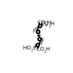 CC(C)(c1ccc(Oc2ccc(C(=O)O)c(C(=O)O)c2)c(F)c1)c1ccc(Oc2ccc(C(=O)O)c(C(=O)O)c2)c(F)c1